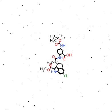 COC(=O)c1[nH]c2cc(Cl)cc3c2c1C(C(C)C(=O)Nc1ccc(NC(=O)OC(C)(C)C)cc1C(=O)O)CC3